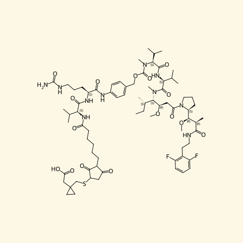 CC[C@H](C)[C@@H]([C@@H](CC(=O)N1CCC[C@H]1[C@H](OC)[C@@H](C)C(=O)NCCc1c(F)cccc1F)OC)N(C)C(=O)[C@@H](NC(=O)[C@H](C(C)C)N(C)C(=O)OCc1ccc(NC(=O)[C@H](CCCNC(N)=O)NC(=O)[C@@H](NC(=O)CCCCCC2C(=O)CC(SCC3(CC(=O)O)CC3)C2=O)C(C)C)cc1)C(C)C